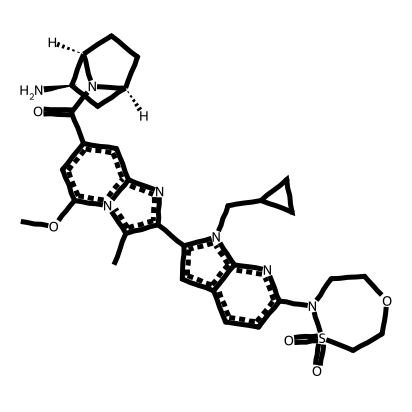 COc1cc(C(=O)N2[C@H]3CC[C@@H]2[C@H](N)C3)cc2nc(-c3cc4ccc(N5CCOCCS5(=O)=O)nc4n3CC3CC3)c(C)n12